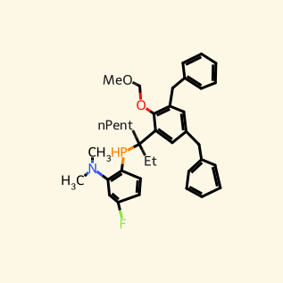 CCCCCC(CC)(Pc1ccc(F)cc1N(C)C)c1cc(Cc2ccccc2)cc(Cc2ccccc2)c1OCOC